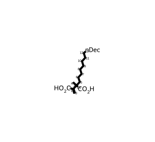 C=C(C(=O)O)C(C)(CCCCCCCCCCCCCCCCCC)C(=O)O